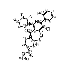 C[C@H]1[C@H](C)N(c2nc(-c3ccccc3F)c(Cl)c3c2C(=O)N2CCN(C(=O)OC(C)(C)C)C[C@@H]2CO3)CCN1C